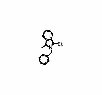 CCc1c2ccccc2c(C)n1Cc1ccccc1